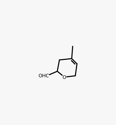 CC1=CCOC(C=O)C1